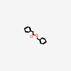 O=C([C]c1ccccc1)OCc1ccccc1